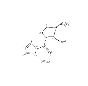 O[C@@H]1COC(c2cccc3nccn23)[C@@H]1O